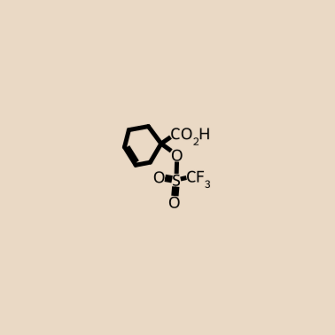 O=C(O)C1(OS(=O)(=O)C(F)(F)F)CC=CCC1